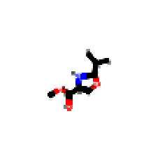 COC(=O)c1coc(C(C)C)n1